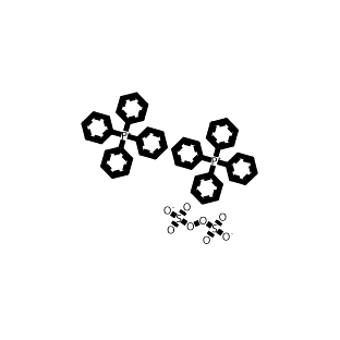 O=S(=O)([O-])OOS(=O)(=O)[O-].c1ccc([P+](c2ccccc2)(c2ccccc2)c2ccccc2)cc1.c1ccc([P+](c2ccccc2)(c2ccccc2)c2ccccc2)cc1